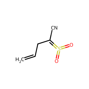 C=CCC(C#N)=S(=O)=O